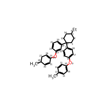 CCC1CCC(c2ccc(Oc3ccc(C)cc3)cc2)(c2cccc(OC3=CCC(C)C=C3)c2)CC1